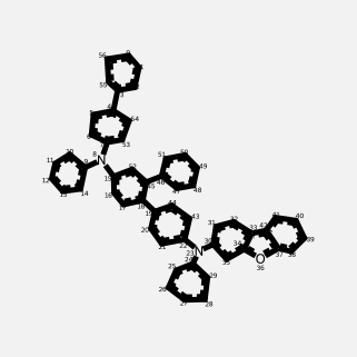 c1ccc(-c2ccc(N(c3ccccc3)c3ccc(-c4ccc(N(c5ccccc5)c5ccc6c(c5)oc5ccccc56)cc4)c(-c4ccccc4)c3)cc2)cc1